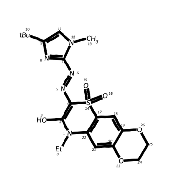 CCN1C(O)=C(N=Nc2nc(C(C)(C)C)cn2C)S(=O)(=O)c2cc3c(cc21)OCCO3